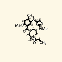 C=CC(=O)N1CCCN(C(=O)c2cc(Sc3cnc(NC)s3)c(C)cc2OC)CC1C(C)C